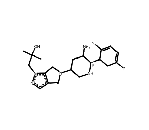 CC(C)(O)Cn1ncc2c1CN(C1CN[C@H](C3CC(F)=CC=C3F)C(N)C1)C2